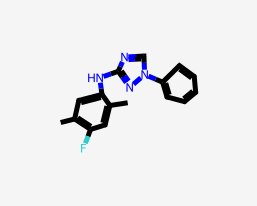 Cc1cc(Nc2ncn(-c3ccccc3)n2)c(C)cc1F